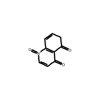 O=C1C=C[N+](=O)C2=C1C(=O)CC=C2